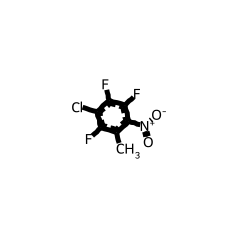 Cc1c(F)c(Cl)c(F)c(F)c1[N+](=O)[O-]